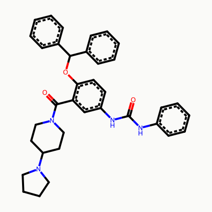 O=C(Nc1ccccc1)Nc1ccc(OC(c2ccccc2)c2ccccc2)c(C(=O)N2CCC(N3CCCC3)CC2)c1